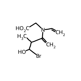 C=CN(CC(=O)O)C(=C)C(C)C(O)Br